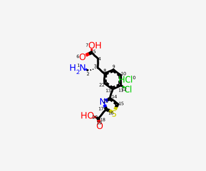 Cl.NC[C@H](CC(=O)O)c1ccc(Cl)c(-c2csc(C(=O)O)n2)c1